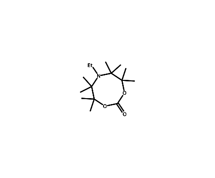 CCN1C(C)(C)C(C)(C)OC(=O)OC(C)(C)C1(C)C